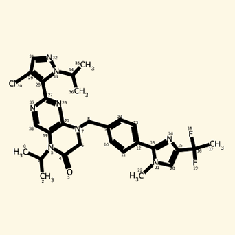 CC(C)N1C(=O)CN(Cc2ccc(-c3nc(C(C)(F)F)cn3C)cc2)c2nc(-c3c(Cl)cnn3C(C)C)ncc21